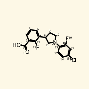 O=C(O)c1cccc(C2CCN(c3ccc(Cl)cc3F)C2)c1F